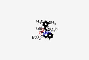 CCOC(=O)[C@H](Cc1ccccc1)N(N[C@@H](Cc1cc(C)cc(C)c1)C(=O)O)C(=O)OC(C)(C)C